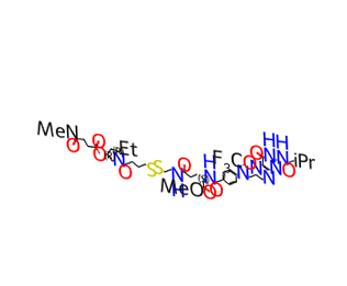 CC[C@@H]1C[C@@H](OC(=O)CCC(=O)NC)CN1C(=O)CCCSSCCNC(=O)CC[C@H](NC(=O)c1ccc(N(Cc2cnc3nc(NC(=O)C(C)C)[nH]c(=O)c3n2)C(=O)C(F)(F)F)cc1)C(=O)OC